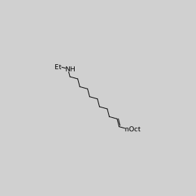 CCCCCCCCC=CCCCCCCCCCNCC